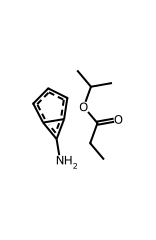 CCC(=O)OC(C)C.Nc1c2cccc1-2